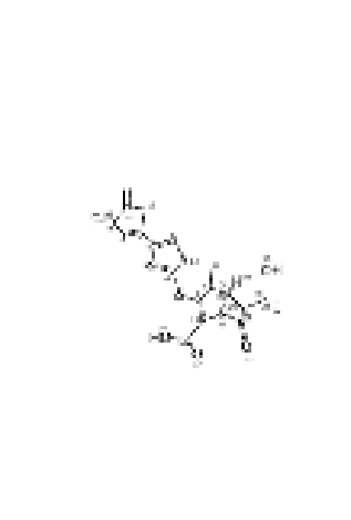 CC1C(Sc2nc(C3=C[C@H](C)NC3)cs2)=C(C(=O)O)N2C(=O)[C@H]([C@@H](C)O)[C@@H]12